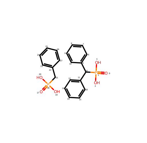 O=P(O)(O)C(c1ccccc1)c1ccccc1.O=P(O)(O)Cc1ccccc1